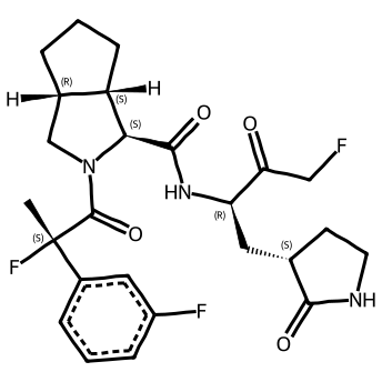 C[C@@](F)(C(=O)N1C[C@@H]2CCC[C@@H]2[C@H]1C(=O)N[C@H](C[C@@H]1CCNC1=O)C(=O)CF)c1cccc(F)c1